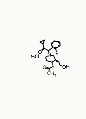 CC(=O)SC1CCN(C(C(=O)C2CC2)c2ccccc2F)CC1=CCO.Cl